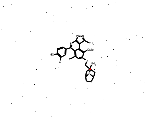 COc1c(OCCN2C3CCC2CC(N)C3)cc(F)c2c(-c3ccc(O)c(Cl)c3)nc3[nH]nc(C)c3c12